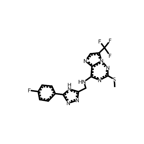 CSc1nc(NCc2nnc(-c3ccc(F)cc3)[nH]2)c2ncc(C(F)(F)F)n2n1